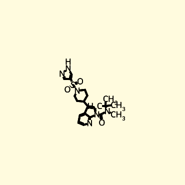 CN(C(=O)n1cc(C2CCN(S(=O)(=O)c3cn[nH]c3)CC2)c2cccnc21)C(C)(C)C